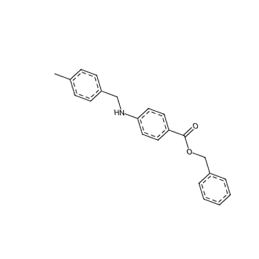 Cc1ccc(CNc2ccc(C(=O)OCc3ccccc3)cc2)cc1